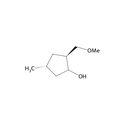 COC[C@@H]1C[C@@H](C)CC1O